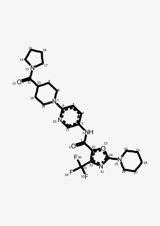 O=C(Nc1ccc(N2CCC(C(=O)N3CCCC3)CC2)nc1)c1oc(N2CCCCC2)nc1C(F)(F)F